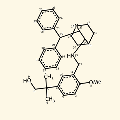 COc1ccc(C(C)(C)CO)cc1CNC1C2CCN(CC2)C1C(c1ccccc1)c1ccccc1